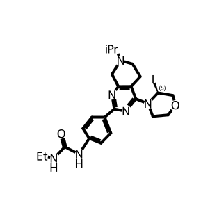 CCNC(=O)Nc1ccc(-c2nc3c(c(N4CCOC[C@@H]4I)n2)CCN(C(C)C)C3)cc1